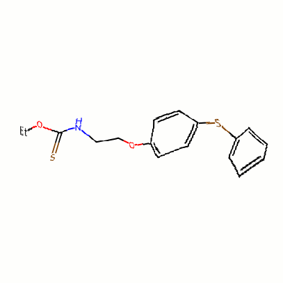 CCOC(=S)NCCOc1ccc(Sc2ccccc2)cc1